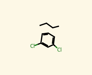 CCCC.Clc1cccc(Cl)c1